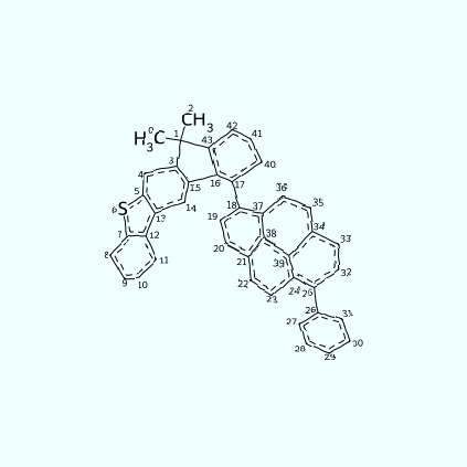 CC1(C)c2cc3sc4ccccc4c3cc2-c2c(-c3ccc4ccc5c(-c6ccccc6)ccc6ccc3c4c65)cccc21